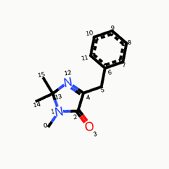 CN1C(=O)C(Cc2ccccc2)=NC1(C)C